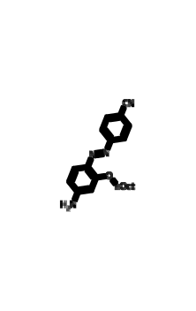 CCCCCCCCOc1cc(N)ccc1/N=N/c1ccc(C#N)cc1